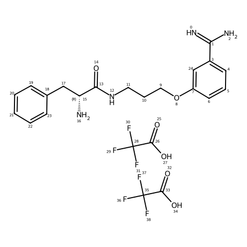 N=C(N)c1cccc(OCCCNC(=O)[C@H](N)Cc2ccccc2)c1.O=C(O)C(F)(F)F.O=C(O)C(F)(F)F